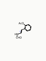 CC(=O)Oc1ccccc1/C=C/NC=O